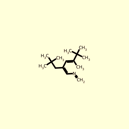 C=N/C=C(\C=C(/C)C(C)(C)C)CC(C)(C)C